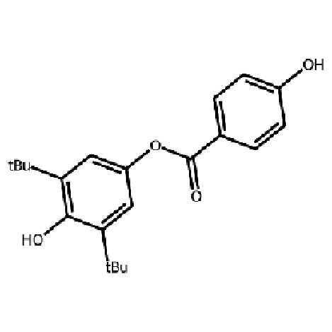 CC(C)(C)c1cc(OC(=O)c2ccc(O)cc2)cc(C(C)(C)C)c1O